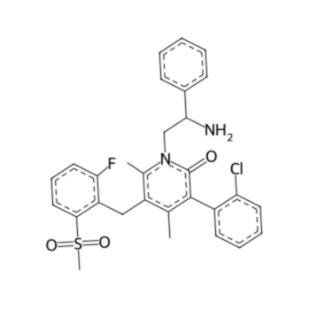 Cc1c(Cc2c(F)cccc2S(C)(=O)=O)c(C)n(CC(N)c2ccccc2)c(=O)c1-c1ccccc1Cl